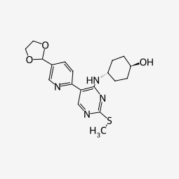 CSc1ncc(-c2ccc(C3OCCO3)cn2)c(N[C@H]2CC[C@H](O)CC2)n1